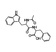 CC(=O)NC(Cc1c[nH]c2ccccc12)C(=O)NC(Cc1ccccc1)C(=O)O